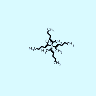 CCCC=C(C)[PH](C(C)=CCCC)(C(C)=CCCC)C(C)=CCCC